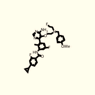 COc1ccc(CN(CCF)CCOc2c(N)ncnc2-c2cc(F)cc(NC(=O)c3ccc(C4CC4)cc3F)c2C)cc1